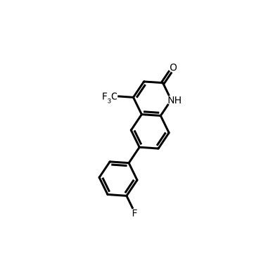 O=c1cc(C(F)(F)F)c2cc(-c3cccc(F)c3)ccc2[nH]1